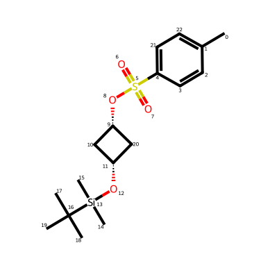 Cc1ccc(S(=O)(=O)O[C@H]2C[C@@H](O[Si](C)(C)C(C)(C)C)C2)cc1